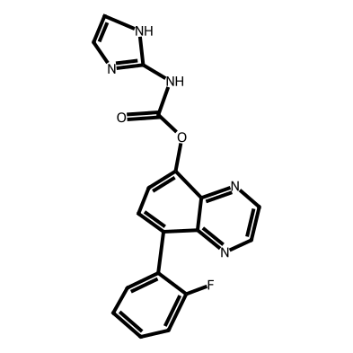 O=C(Nc1ncc[nH]1)Oc1ccc(-c2ccccc2F)c2nccnc12